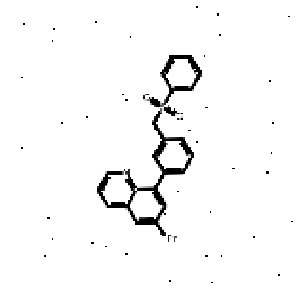 CC(C)c1cc(-c2cccc(CS(=O)(=O)c3ccccc3)c2)c2ncccc2c1